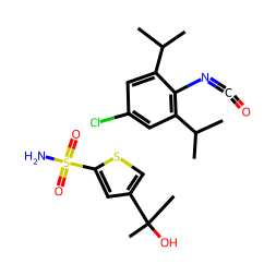 CC(C)(O)c1csc(S(N)(=O)=O)c1.CC(C)c1cc(Cl)cc(C(C)C)c1N=C=O